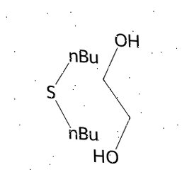 CCCCSCCCC.OCCO